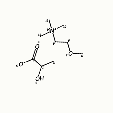 CC(O)C(=O)[O-].COCC[N+](C)(C)C